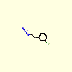 [N-]=[N+]=NCCc1cccc(Br)c1